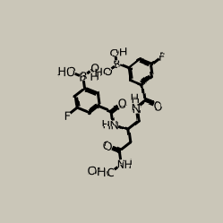 O=CNC(=O)CC(CNC(=O)c1cc(F)cc(B(O)O)c1)NC(=O)c1cc(F)cc(B(O)O)c1